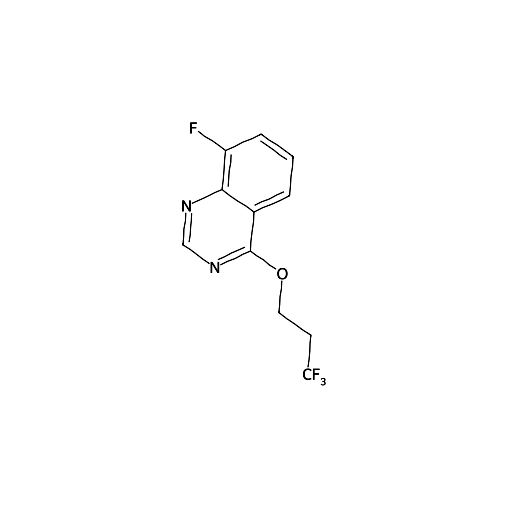 Fc1cccc2c(OCCC(F)(F)F)ncnc12